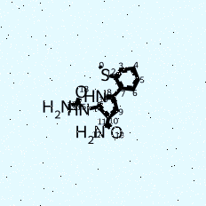 CSc1ccccc1-c1cc(C(N)=O)c(NC(N)=O)[nH]1